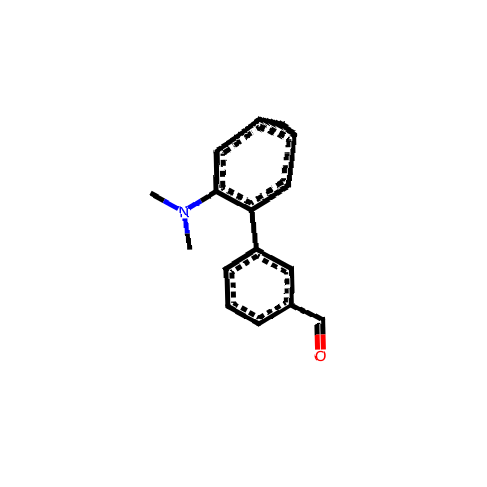 CN(C)c1ccccc1-c1cccc(C=O)c1